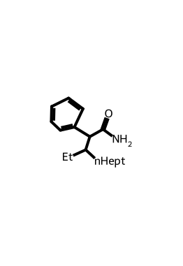 CCCCCCCC(CC)C(C(N)=O)c1ccccc1